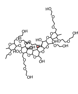 CCOC1C(C)OC(COCCO)C(OC2OC(COCCOCCO)C(OC3OC(CO)C(OC4OC(COCCO)C(OC5OC(COCCOCCO)C(C)C(OCCOCCO)C5O)C(O)C4OCCOCCO)C(O)C3O)C(O)C2O)C1O